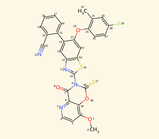 COc1ccnc2c(=O)n(-c3nc4cc(-c5ccccc5C#N)c(Oc5ccc(F)cc5C)cc4s3)c(=S)oc12